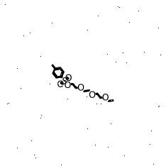 CCOCCOCCOCCOS(=O)(=O)c1ccc(C)cc1